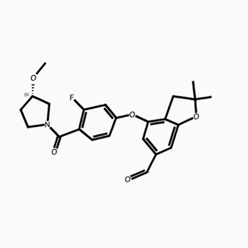 CO[C@H]1CCN(C(=O)c2ccc(Oc3cc([C]=O)cc4c3CC(C)(C)O4)cc2F)C1